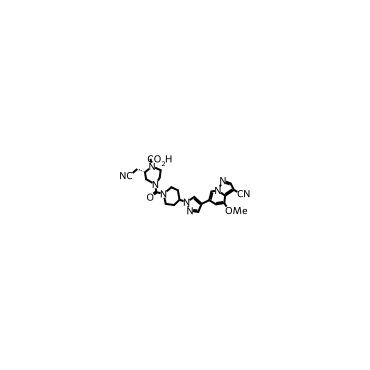 COc1cc(-c2cnn(C3CCN(C(=O)N4CCN(C(=O)O)[C@@H](CC#N)C4)CC3)c2)cn2ncc(C#N)c12